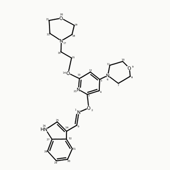 C(=N\Oc1cc(N2CCOCC2)cc(OCCN2CCOCC2)n1)/c1c[nH]c2ccccc12